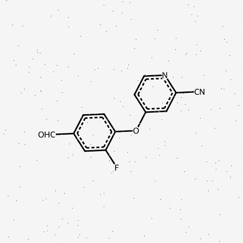 N#Cc1cc(Oc2ccc(C=O)cc2F)ccn1